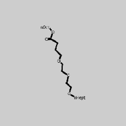 CCCCCCCCOC(=O)CCCOCCOCCOCCCCCCC